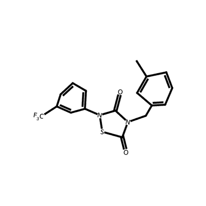 Cc1cccc(Cn2c(=O)sn(-c3cccc(C(F)(F)F)c3)c2=O)c1